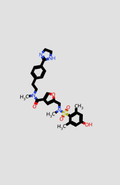 Cc1cc(O)cc(C)c1S(=O)(=O)N(C)Cc1cc(C(=O)N(C)CCc2ccc(C3=NCCN3)cc2)co1